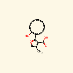 Cc1coc(-c2ccccccccc2O)c1C(=O)O